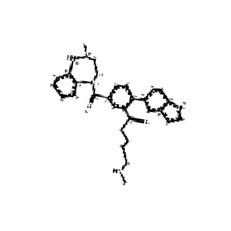 CNCCCCC(=O)c1cc(C(=O)N2CC[C@H](C)Nc3ccccc32)ccc1-c1ccc2[nH]ccc2c1